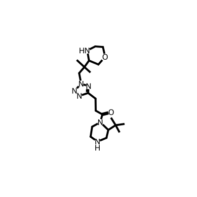 CC(C)(C)C1CNCCN1C(=O)CCc1nnn(CC(C)(C)C2COCCN2)n1